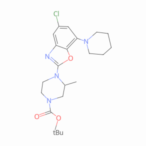 CC1CN(C(=O)OC(C)(C)C)CCN1c1nc2cc(Cl)cc(N3CCCCC3)c2o1